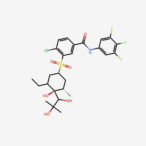 CCC1C[C@@H](S(=O)(=O)c2cc(C(=O)Nc3cc(F)c(F)c(F)c3)ccc2Cl)C[C@H](C)[C@]1(O)C(O)C(C)(C)O